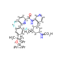 CC(C)[Si](OC(C)(C)c1cc(F)c(-c2nc(C(=O)Nc3cnccc3[C@H]3CC(NC(=O)O)C[C@@H](C)C3)ccc2F)c(F)c1)(C(C)C)C(C)C